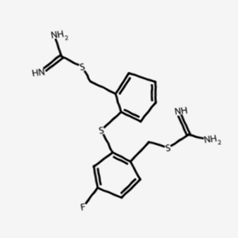 N=C(N)SCc1ccccc1Sc1cc(F)ccc1CSC(=N)N